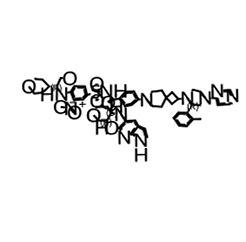 Cc1ccccc1[C@@H]1CN(c2ccncn2)CCN1C1CC2(CCN(c3ccc(C(=O)NS(=O)(=O)c4cc5c(c([N+](=O)[O-])c4)N[C@H](C4CCOCC4)CO5)c(N4c5cc6cc[nH]c6nc5O[C@H]5COCC[C@@H]54)c3)CC2)C1